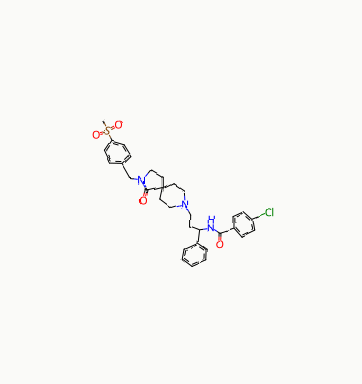 CS(=O)(=O)c1ccc(CN2CCC3(CCN(CCC(NC(=O)c4ccc(Cl)cc4)c4ccccc4)CC3)C2=O)cc1